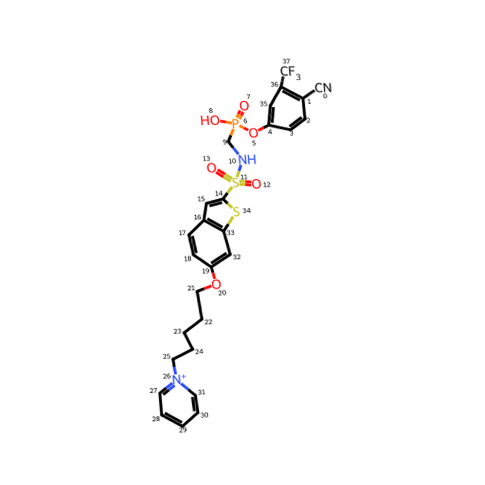 N#Cc1ccc(OP(=O)(O)CNS(=O)(=O)c2cc3ccc(OCCCCC[n+]4ccccc4)cc3s2)cc1C(F)(F)F